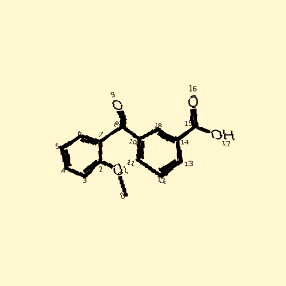 COc1ccccc1C(=O)c1cccc(C(=O)O)c1